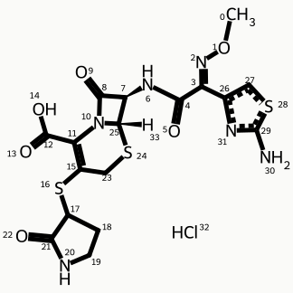 CON=C(C(=O)N[C@@H]1C(=O)N2C(C(=O)O)=C(SC3CCNC3=O)CS[C@@H]12)c1csc(N)n1.Cl